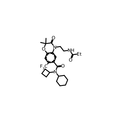 CCC(=O)NCCN1C(=O)C(C)(C)Oc2cc(C(F)(F)F)c(C(=O)N(C3CCCCC3)C3CCC3)cc21